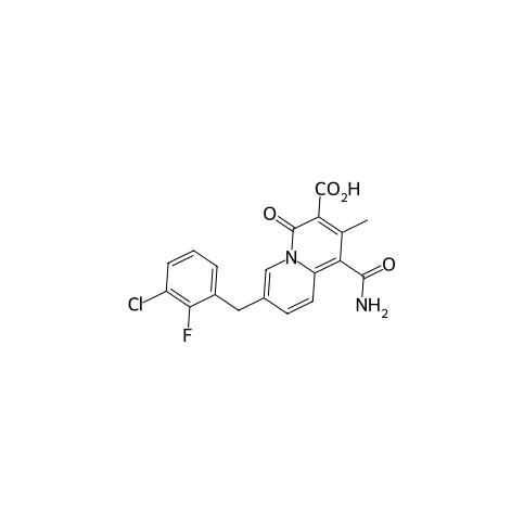 Cc1c(C(=O)O)c(=O)n2cc(Cc3cccc(Cl)c3F)ccc2c1C(N)=O